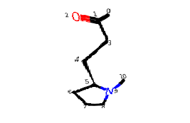 CC(=O)CC[C@@H]1CCCN1C